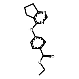 CCOC(=O)c1ccc(Nc2ncnc3c2CCC3)cc1